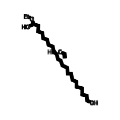 C=CC(=O)O.CCOC(O)CCCCCCCCCCCCCCCCCCCCCCO